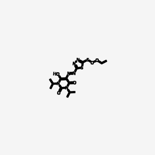 CCOOSc1nnc(N=Nc2c(O)n(C(C)C)c(=O)n(C(C)C)c2=O)s1